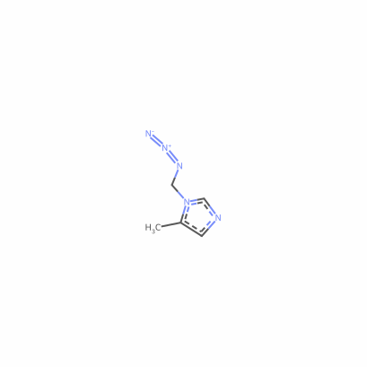 Cc1cncn1CN=[N+]=[N-]